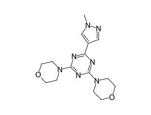 Cn1cc(-c2nc(N3CCOCC3)nc(N3CCOCC3)n2)cn1